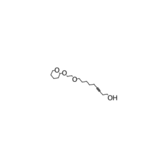 OCCC#CCCCCCOCCOC1CCCCO1